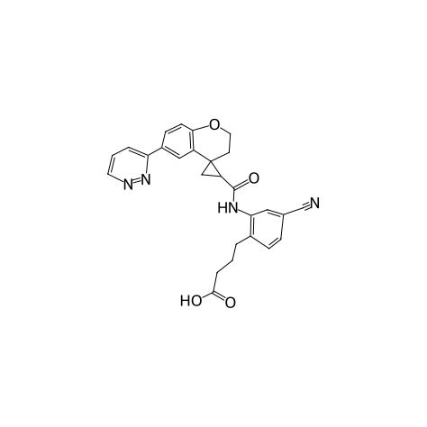 N#Cc1ccc(CCCC(=O)O)c(NC(=O)C2CC23CCOc2ccc(-c4cccnn4)cc23)c1